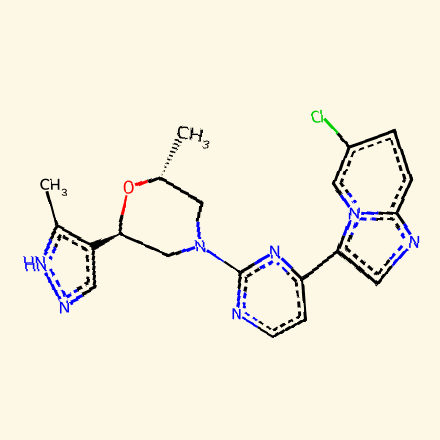 Cc1[nH]ncc1[C@@H]1CN(c2nccc(-c3cnc4ccc(Cl)cn34)n2)C[C@@H](C)O1